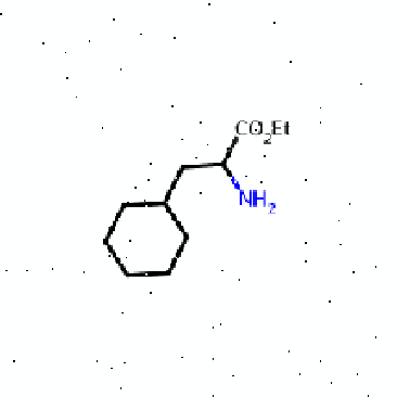 CCOC(=O)C(N)CC1CCCCC1